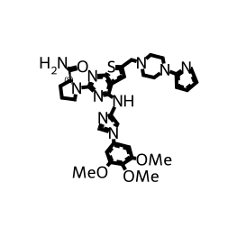 COc1cc(-n2cnc(Nc3nc(N4CCC[C@H]4C(N)=O)nc4sc(CN5CCN(c6ccccn6)CC5)cc34)c2)cc(OC)c1OC